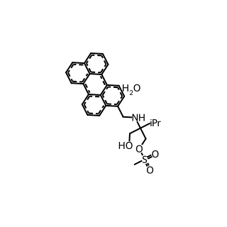 CC(C)C(CO)(COS(C)(=O)=O)NCc1ccc2c3cccc4cccc(c5cccc1c52)c43.O